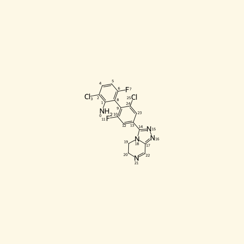 Nc1c(Cl)ccc(F)c1-c1c(F)cc(-c2nnc3n2CCN=C3)cc1Cl